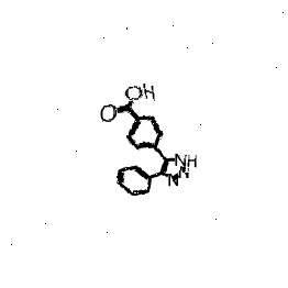 O=C(O)c1ccc(-c2[nH]nnc2-c2ccccc2)cc1